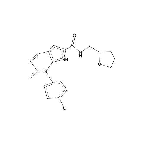 C=C1C=Cc2cc(C(=O)NCC3CCCO3)[nH]c2N1c1ccc(Cl)cc1